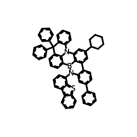 c1ccc(-c2ccc3c(c2)N(c2cccc4c2sc2ccccc24)B2c4cccc5c4N(c4ccccc4C5(c4ccccc4)c4ccccc4)c4cc(C5CCCCC5)cc-3c42)cc1